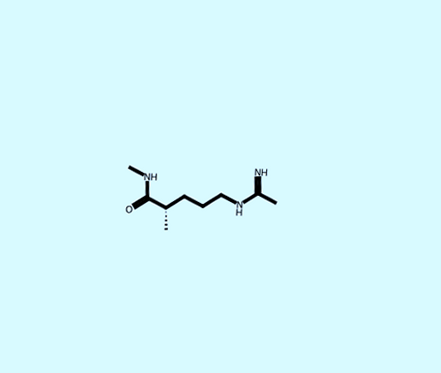 CNC(=O)[C@@H](C)CCCNC(C)=N